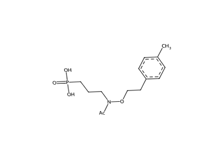 CC(=O)N(CCCP(=O)(O)O)OCCc1ccc(C)cc1